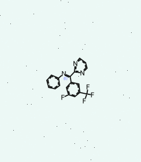 Fc1cc(/C(=N\c2ccccc2)c2ncccn2)cc(C(F)(F)F)c1